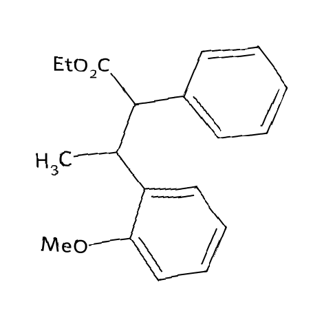 CCOC(=O)C(c1ccccc1)C(C)c1ccccc1OC